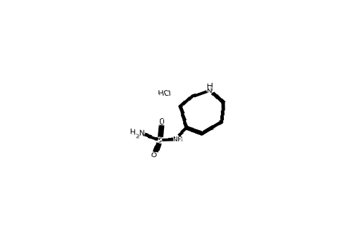 Cl.NS(=O)(=O)NC1CCCNCC1